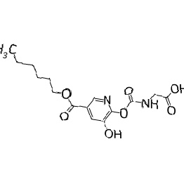 CCCCCCOC(=O)c1cnc(OC(=O)NCC(=O)O)c(O)c1